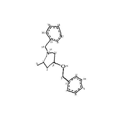 CC1CC(OCc2ccccc2)CN1Cc1ccccc1